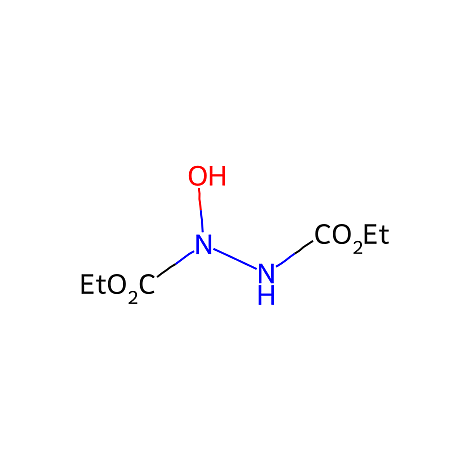 CCOC(=O)NN(O)C(=O)OCC